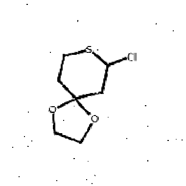 ClC1CC2(CCS1)OCCO2